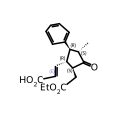 CCOC(=O)C[C@@H]1C(=O)[C@@H](C)[C@H](c2ccccc2)[C@H]1/C=C/C(=O)O